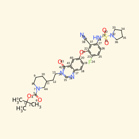 CC(C)(C)OC(=O)N1CCCC(CCn2cnc3ccc(Oc4c(F)ccc(NS(=O)(=O)N5CCCC5)c4C#N)cc3c2=O)C1